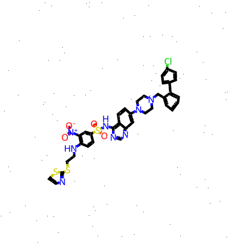 O=[N+]([O-])c1cc(S(=O)(=O)Nc2ncnc3cc(N4CCN(Cc5ccccc5-c5ccc(Cl)cc5)CC4)ccc23)ccc1NCCSc1nccs1